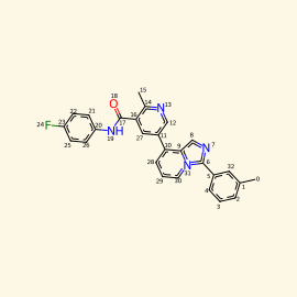 Cc1cccc(-c2ncc3c(-c4cnc(C)c(C(=O)Nc5ccc(F)cc5)c4)cccn23)c1